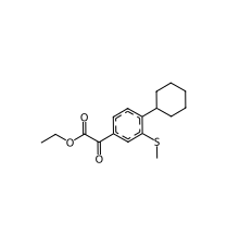 CCOC(=O)C(=O)c1ccc(C2CCCCC2)c(SC)c1